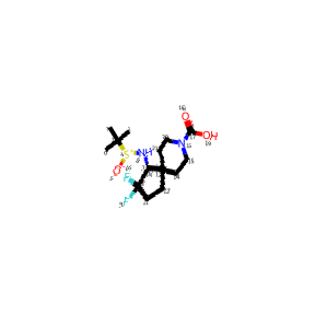 CC(C)(C)[S+]([O-])N[C@@H]1C(F)(F)CCC12CCN(C(=O)O)CC2